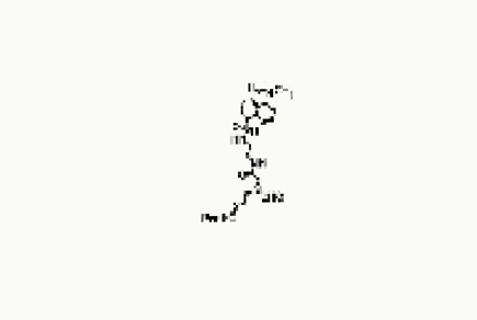 CCCC(C)SS/C=C/N(C=O)CC(=O)NCCNS(=O)(=O)c1cccc2c(N(C)C)cccc12